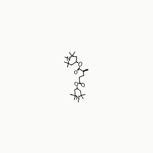 C=C(CCC(=O)OC1CC(C)(C)N(C)C(C)(C)C1)C(=O)OC1CC(C)(C)N(C)C(C)(C)C1